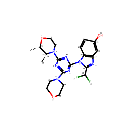 C[C@@H]1OCCN(c2nc(N3CCOCC3)nc(-n3c(C(F)F)nc4cc(O)ccc43)n2)[C@@H]1C